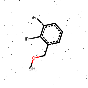 CC(C)c1cccc(CO[SiH3])c1C(C)C